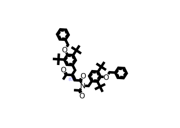 CC(=O)/C(=C/C(=O)N(Cc1ccc(C(C)(C)C)c(OCc2ccccc2)c1C(C)(C)C)C(C)=O)Cc1cc(C(C)(C)C)c(OCc2ccccc2)c(C(C)(C)C)c1